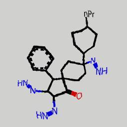 CCCC1CCC(C2(N=N)CCC3(CC2)C(=O)C(N=N)C(N=N)C3c2ccccc2)CC1